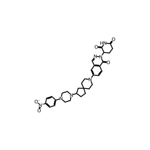 O=C1CCC(n2ncc3cc(N4CCC5(CCC(N6CCN(c7ccc([N+](=O)[O-])cc7)CC6)C5)CC4)ccc3c2=O)C(=O)N1